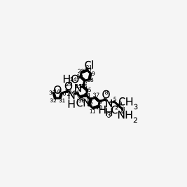 CC(C)(CN)CNC(=O)c1cccc(-c2cc(-c3ccc(Cl)cc3O)nc(NC(=O)c3ccco3)c2C#N)c1